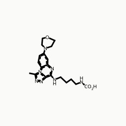 Cc1nnc2c(NCCCCNC(=O)O)nc3cc(N4CCOCC4)ccc3n12